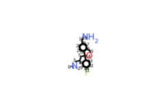 CN(C)CCCC1(c2ccc(F)cc2)OCc2cc(CN)ccc21